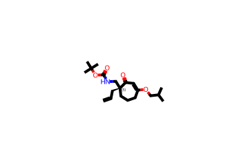 C=CC[C@]1(CNC(=O)OC(C)(C)C)CCCC(OCC(C)C)=CC1=O